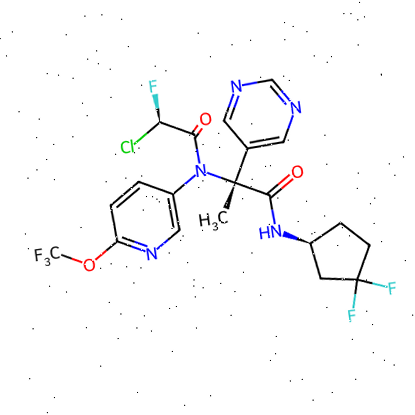 C[C@](C(=O)N[C@H]1CCC(F)(F)C1)(c1cncnc1)N(C(=O)[C@H](F)Cl)c1ccc(OC(F)(F)F)nc1